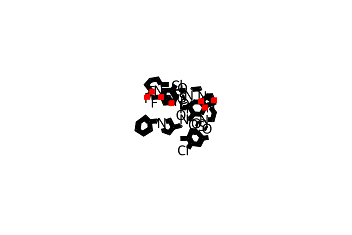 Cc1cc(S(=O)(=O)N2CCn3cccc3C2C(C(=O)NCC2CCN(Cc3ccccc3)C2)C(C(=O)NCCCN2C(C)CCCC2C)C2c3cccn3CCN2S(=O)(=O)c2ccc(C(F)(F)F)cc2Cl)c(C)cc1Cl